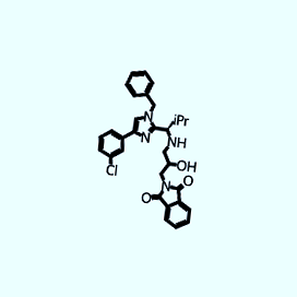 CC(C)[C@@H](NCC(O)CN1C(=O)c2ccccc2C1=O)c1nc(-c2cccc(Cl)c2)cn1Cc1ccccc1